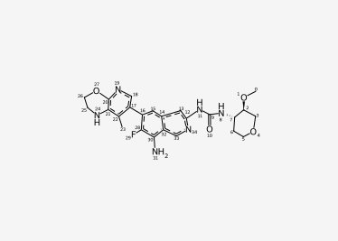 CO[C@H]1COCC[C@@H]1NC(=O)Nc1cc2cc(-c3cnc4c(c3C)NCCO4)c(F)c(N)c2cn1